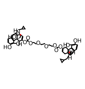 O=C(OCCOCCOCCOC(=O)OC1=CC[C@@]2(O)[C@H]3Cc4ccc(O)c5c4[C@@]2(CCN3CC2CC2)[C@H]1O5)OC1=CC[C@@]2(O)[C@H]3Cc4ccc(O)c5c4[C@@]2(CCN3CC2CC2)[C@H]1O5